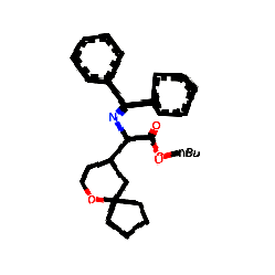 CCCCOC(=O)C(N=C(c1ccccc1)c1ccccc1)C1CCOC2(CCCC2)C1